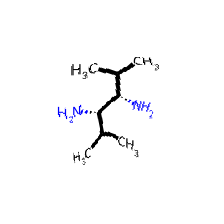 CC(C)[C@H](N)[C@@H](N)C(C)C